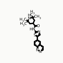 CC1(C)CC(C(=O)Nc2ncc(-c3ccc4nnccc4c3)s2)CC(C)(C)N1